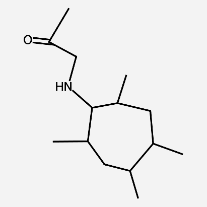 CC(=O)CNC1C(C)CC(C)C(C)CC1C